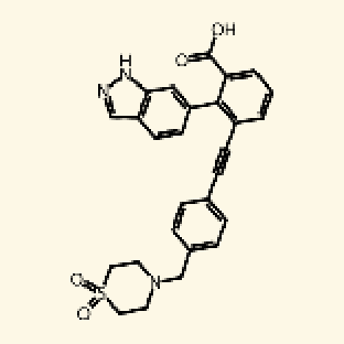 O=C(O)c1cccc(C#Cc2ccc(CN3CCS(=O)(=O)CC3)cc2)c1-c1ccc2cn[nH]c2c1